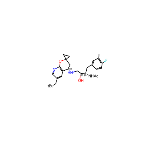 CC(=O)N[C@@H](Cc1ccc(F)c(C)c1)[C@H](O)CN[C@H]1CC2(CC2)Oc2ncc(CC(C)(C)C)cc21